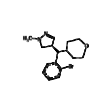 CN1C[C@H](C(c2ccccc2Br)C2CCOCC2)C=N1